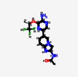 CC(=O)Nc1cn2cc(-c3cnc(N)c(O[C@@H](C)C(F)(F)F)n3)ccc2n1